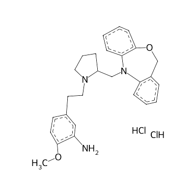 COc1ccc(CCN2CCCC2CN2c3ccccc3COc3ccccc32)cc1N.Cl.Cl